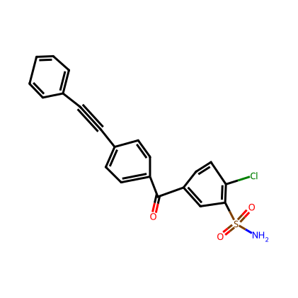 NS(=O)(=O)c1cc(C(=O)c2ccc(C#Cc3ccccc3)cc2)ccc1Cl